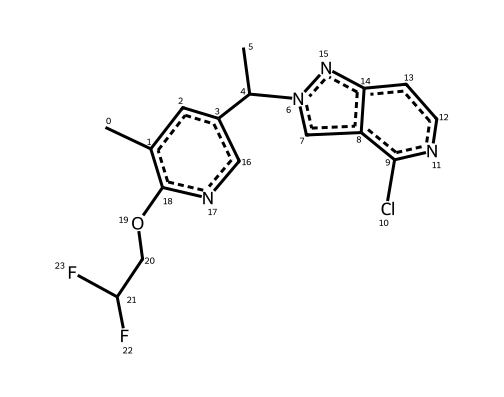 Cc1cc(C(C)n2cc3c(Cl)nccc3n2)cnc1OCC(F)F